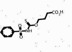 O=C(O)CCCOC(=S)NS(=O)(=O)c1ccccc1